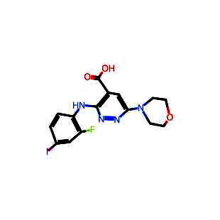 O=C(O)c1cc(N2CCOCC2)nnc1Nc1ccc(I)cc1F